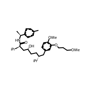 COCCCOc1cc(C[C@@H](CC[C@@H](O)C[C@H](C(=O)N[C@@H](C)c2ccc(C)cc2)C(C)C)C(C)C)ccc1OC